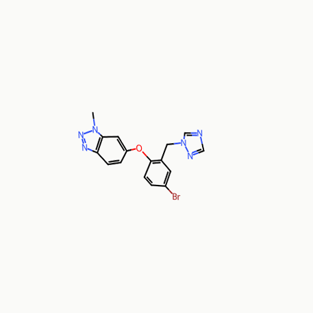 Cn1nnc2ccc(Oc3ccc(Br)cc3Cn3cncn3)cc21